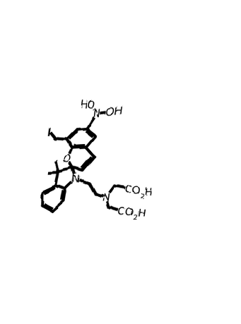 CC1(C)c2ccccc2N(CCN(CC(=O)O)CC(=O)O)C12C=Cc1cc(N(O)O)cc(CI)c1O2